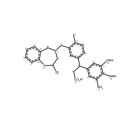 CCC1CN(Cc2cc(C(CC(=O)O)c3cc(N)c(NC)c(OC)c3)ccc2C)Cc2ccccc2O1